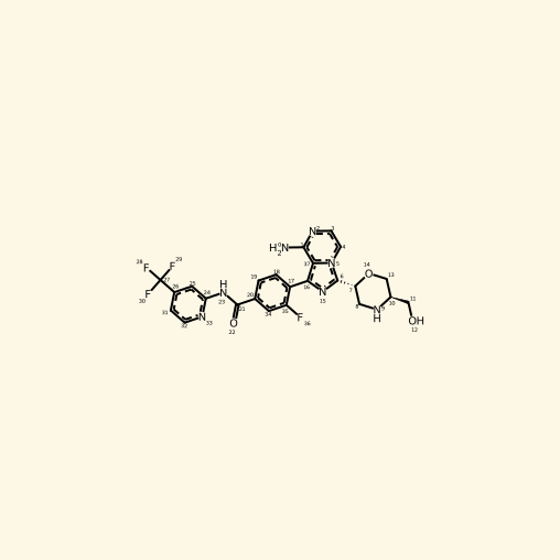 Nc1nccn2c([C@H]3CN[C@H](CO)CO3)nc(-c3ccc(C(=O)Nc4cc(C(F)(F)F)ccn4)cc3F)c12